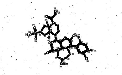 C=CC(=O)N1CCN(c2nc(=O)n3c4c(c(-c5cc(Cl)c(F)cc5F)c(C)cc24)SC[C@@H](OC)C3)[C@@H]2CN(S(C)(=O)=O)C[C@@H]21